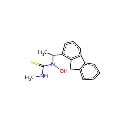 CNC(=S)N(O)C(C)c1cccc2c1Cc1ccccc1-2